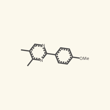 COc1ccc(-c2ncc(C)c(C)n2)cc1